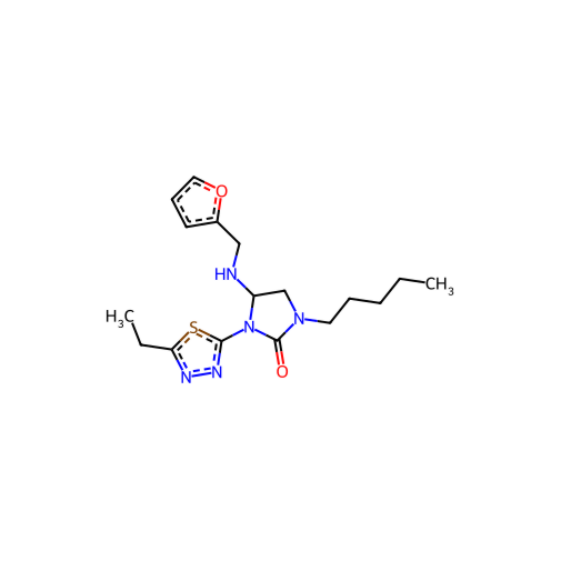 CCCCCN1CC(NCc2ccco2)N(c2nnc(CC)s2)C1=O